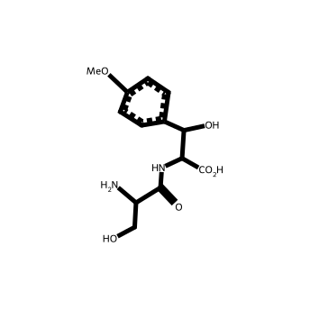 COc1ccc(C(O)C(NC(=O)C(N)CO)C(=O)O)cc1